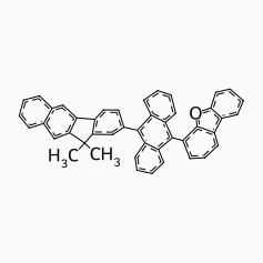 CC1(C)c2cc(-c3c4ccccc4c(-c4cccc5c4oc4ccccc45)c4ccccc34)ccc2-c2cc3ccccc3cc21